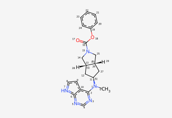 CN(c1ncnc2[nH]ccc12)[C@H]1C[C@@H]2CN(C(=O)Oc3ccccc3)C[C@@H]2C1